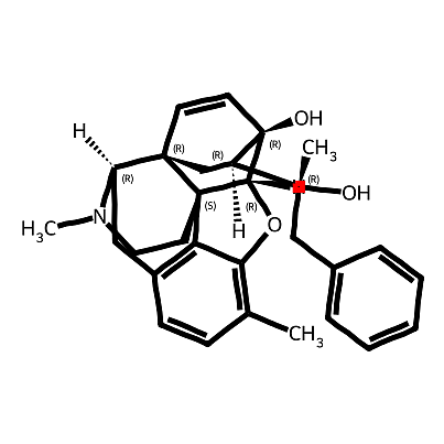 Cc1ccc2c3c1O[C@H]1[C@@]4(O)C=C[C@@]5(C[C@@H]4[C@](C)(O)Cc4ccccc4)[C@@H](C2)N(C)CC[C@]315